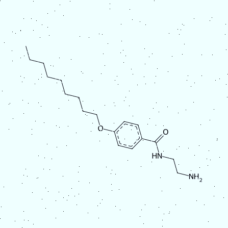 CCCCCCCCCOc1ccc(C(=O)NCCN)cc1